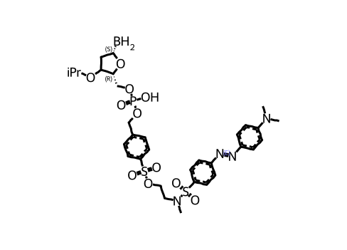 B[C@H]1CC(OC(C)C)[C@@H](COP(=O)(O)OCc2ccc(S(=O)(=O)OCCN(C)S(=O)(=O)c3ccc(/N=N/c4ccc(N(C)C)cc4)cc3)cc2)O1